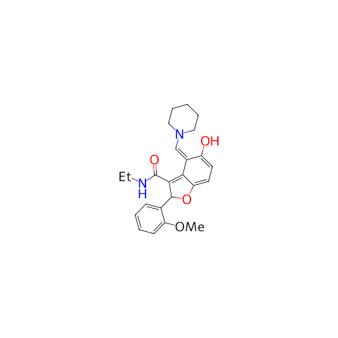 CCNC(=O)C1=c2c(ccc(O)c2=CN2CCCCC2)OC1c1ccccc1OC